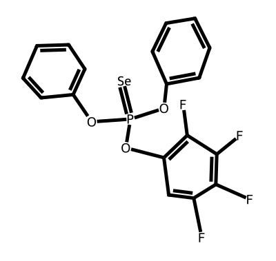 Fc1cc(OP(=[Se])(Oc2ccccc2)Oc2ccccc2)c(F)c(F)c1F